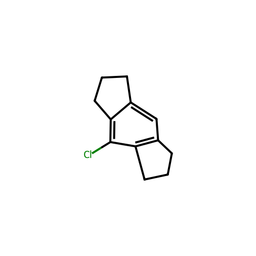 Clc1c2c(cc3c1CCC3)CCC2